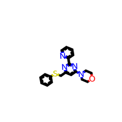 c1ccc(SCc2cc(N3CCOCC3)nc(-c3ccccn3)n2)cc1